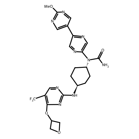 COc1ncc(-c2cnc(N(C(N)=O)[C@H]3CC[C@H](Nc4ncc(C(F)(F)F)c(OC5COC5)n4)CC3)cn2)cn1